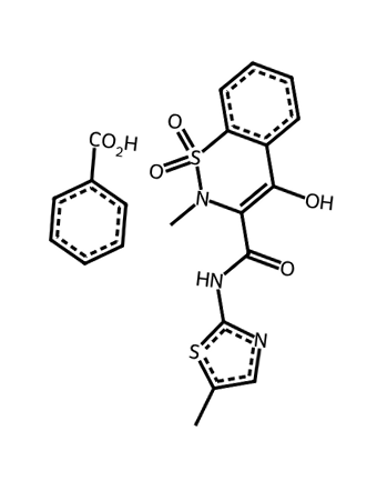 Cc1cnc(NC(=O)C2=C(O)c3ccccc3S(=O)(=O)N2C)s1.O=C(O)c1ccccc1